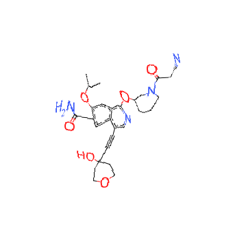 CC(C)Oc1cc2c(OC3CCCN(C(=O)CC#N)C3)ncc(C#CC3(O)CCOCC3)c2cc1C(N)=O